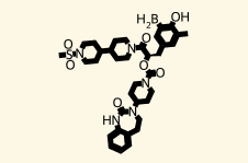 Bc1cc(C[C@@H](OC(=O)N2CCC(N3CCc4ccccc4NC3=O)CC2)C(=O)N2CCC(C3CCN(S(C)(=O)=O)CC3)CC2)cc(C)c1O